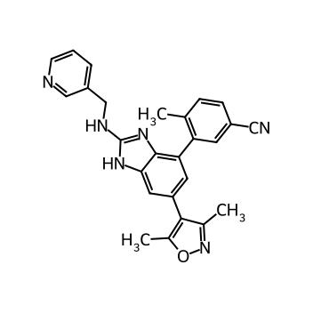 Cc1ccc(C#N)cc1-c1cc(-c2c(C)noc2C)cc2[nH]c(NCc3cccnc3)nc12